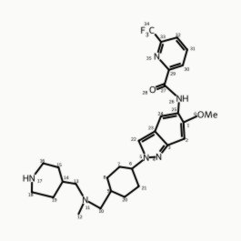 COc1cc2nn(C3CCC(CN(C)CC4CCNCC4)CC3)cc2cc1NC(=O)c1cccc(C(F)(F)F)n1